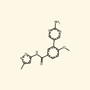 COc1ccc(C(=O)Nc2cc(C)no2)cc1-c1cnc(N)nc1